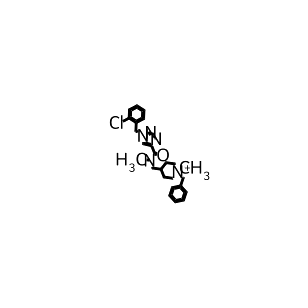 CN(CC1CC[N+](C)(Cc2ccccc2)CC1)C(=O)c1cn(Cc2ccccc2Cl)nn1